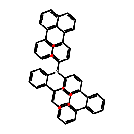 c1ccc(-c2ccccc2-c2ccc(N(c3ccc(-c4cccc5cccc(-c6ccccc6)c45)cc3)c3ccccc3-c3ccccc3)cc2)cc1